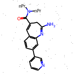 CCCN(CCC)C(=O)C1=Cc2ccc(-c3cccnc3)cc2N=C(N)C1